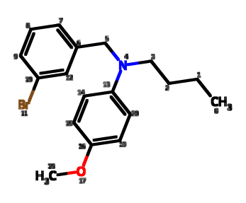 CCCCN(Cc1cccc(Br)c1)c1ccc(OC)cc1